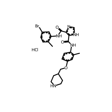 Cc1ccc(Br)cc1NC(=O)c1nc[nH]c1C(=O)Nc1ccc(OCC2CCNCC2)cc1C.Cl